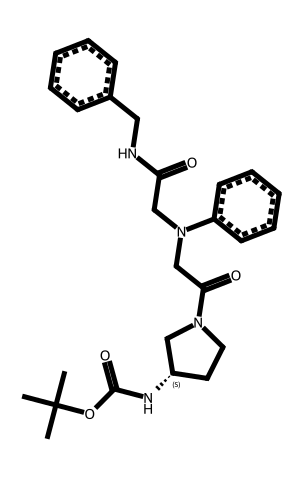 CC(C)(C)OC(=O)N[C@H]1CCN(C(=O)CN(CC(=O)NCc2ccccc2)c2ccccc2)C1